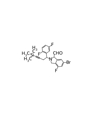 C[Si](C)(C)C#CCC(c1cc(F)ccc1F)N1Cc2c(F)cc(Br)cc2C1C=O